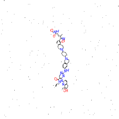 C=CCn1c(=O)c2cnc(Nc3ccc4c(c3)CCN(C3CCC(N5CCc6ccc7c(C(C)CCC(=O)NC=O)noc7c6CC5)CC3)C4)nc2n1-c1ccc2c(n1)C(O)(CC)CC2